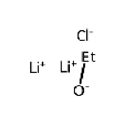 CC[O-].[Cl-].[Li+].[Li+]